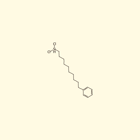 Cl[SiH](Cl)CCCCCCCCCCc1ccccc1